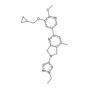 CCn1cc(N2Cc3nc(-c4cnc(OC)c(OCC5CC5)c4)cc(C)c3C2)cn1